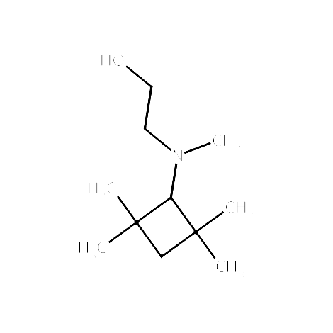 CN(CCO)C1C(C)(C)CC1(C)C